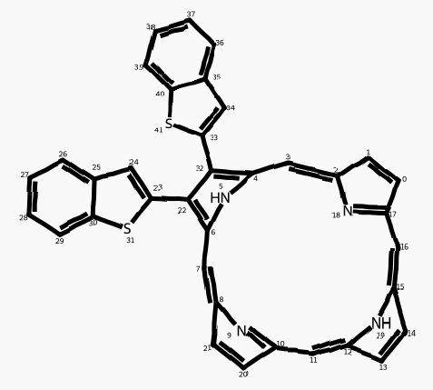 C1=Cc2cc3[nH]c(cc4nc(cc5ccc(cc1n2)[nH]5)C=C4)c(-c1cc2ccccc2s1)c3-c1cc2ccccc2s1